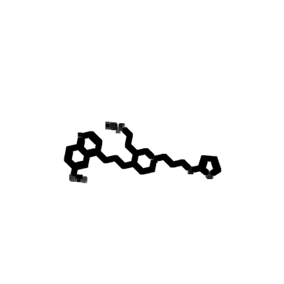 COc1ccc2nccc(CCCC3CCN(CCCSc4ccco4)CC3CCC(=O)O)c2c1